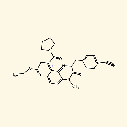 CCOC(=O)C/C(C(=O)N1CCCC1)=c1\cccc2c1=NC(Cc1ccc(C#N)cc1)C(=O)N2C